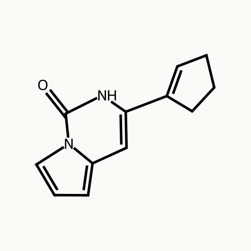 O=c1[nH]c(C2=CCCC2)cc2cccn12